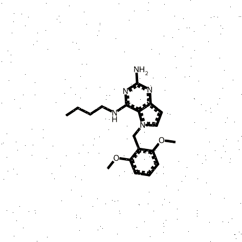 CCCCNc1nc(N)nc2ccn(Cc3c(OC)cccc3OC)c12